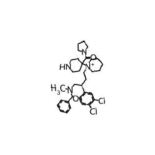 CN(CC(CC[N+]1(C2(C(=O)N3CCCC3)CCNCC2)CCCCC1)c1ccc(Cl)c(Cl)c1)C(=O)c1ccccc1